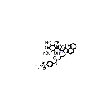 CCCCN1C(=O)C(C#N)=C(C(F)(F)F)/C(=C/C=C2/N(CCCC(=O)Nc3ccc(S(N)(=O)=O)cc3)c3ccc4ccccc4c3C2(C)C)C1O